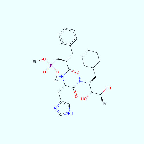 CCOP(=O)(C[C@@H](Cc1ccccc1)C(=O)N[C@@H](Cc1c[nH]cn1)C(=O)N[C@@H](CC1CCCCC1)[C@@H](O)[C@@H](O)C(C)C)OCC